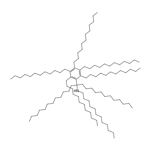 CCCCCCCCCCCCNC(CCCCCCCCCCCC)(CCCCCCCCCCCC)c1c(CCCCCCCCCCCC)c(CCCCCCCCCCCC)c(CCCCCCCCCCCC)c(CCCCCCCCCCCC)c1CCCCCCCCCCCC